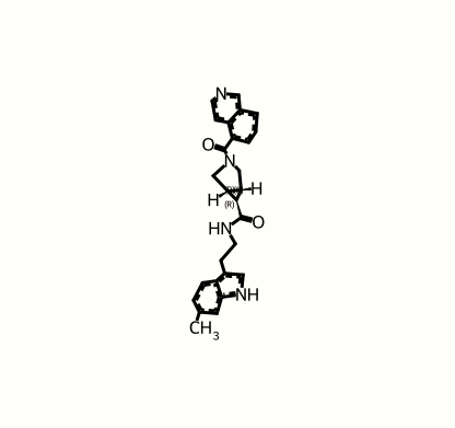 Cc1ccc2c(CCNC(=O)[C@H]3[C@@H]4CN(C(=O)c5cccc6cnccc56)C[C@@H]43)c[nH]c2c1